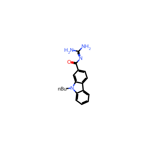 CCCCn1c2ccccc2c2ccc(C(=O)N=C(N)N)cc21